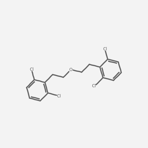 Clc1cccc(Cl)c1CCOCCc1c(Cl)cccc1Cl